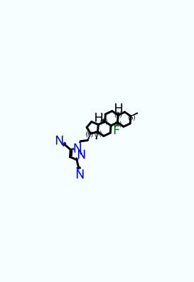 C[C@H]1CC[C@]2(F)C3CC[C@@]4(C)C(CC[C@@H]4CCn4nc(C#N)cc4C#N)[C@@H]3CC[C@@H]2C1